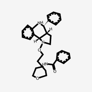 O=C(NC1(CCON2CC[C@H]3[C@@H](c4ccccc4)Nc4ccccc4[C@H]32)CCOCC1)c1ccccc1